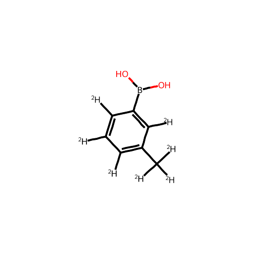 [2H]c1c([2H])c(B(O)O)c([2H])c(C([2H])([2H])[2H])c1[2H]